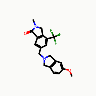 COc1ccc2c(c1)CN(Cc1cc3c(c(C(F)(F)F)c1)CN(C)C3=O)C2